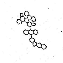 c1ccc2c(c1)-c1ccccc1C21c2c(cc(-c3c4ccccc4c(-c4ccc5sc6cc7ccccc7cc6c5c4)c4ccccc34)c3ccccc23)-c2c1c1ccccc1c1ccccc21